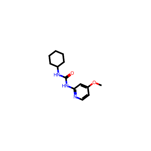 COc1ccnc(NC(=O)NC2CCCCC2)c1